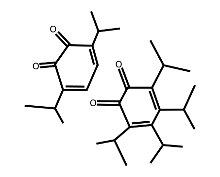 CC(C)C1=C(C(C)C)C(C(C)C)=C(C(C)C)C(=O)C1=O.CC(C)C1=CC=C(C(C)C)C(=O)C1=O